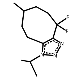 CC1CCc2c(nnn2C(C)C)C(F)(F)CC1